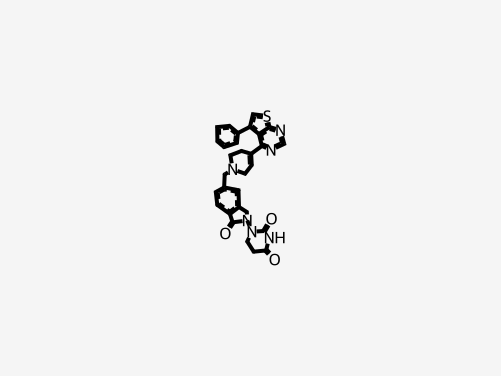 O=C1CCN(N2Cc3cc(CN4CC=C(c5ncnc6scc(-c7ccccc7)c56)CC4)ccc3C2=O)C(=O)N1